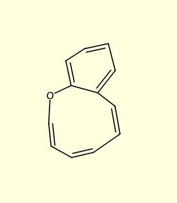 c1cccc2ccccc2occ1